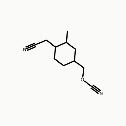 CC1CC(COC#N)CCC1CC#N